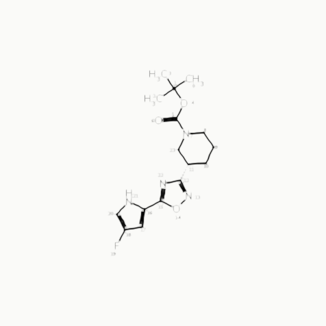 CC(C)(C)OC(=O)N1CCC[C@H](c2noc(-c3cc(F)c[nH]3)n2)C1